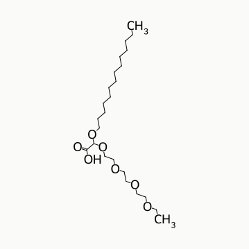 CCCCCCCCCCCCCCOC(OCCOCCOCCOCC)C(=O)O